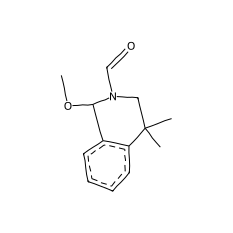 COC1c2ccccc2C(C)(C)CN1C=O